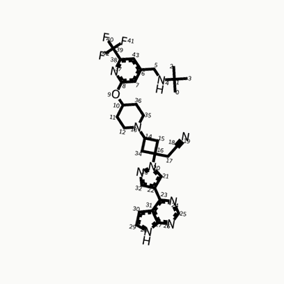 CC(C)(C)NCc1cc(OC2CCN(C3CC(CC#N)(n4cc(-c5ncnc6[nH]ccc56)cn4)C3)CC2)nc(C(F)(F)F)c1